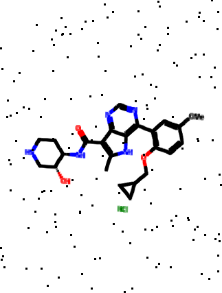 COc1ccc(OCC2CC2)c(-c2ncnc3c(C(=O)N[C@@H]4CCNC[C@H]4O)c(C)[nH]c23)c1.Cl